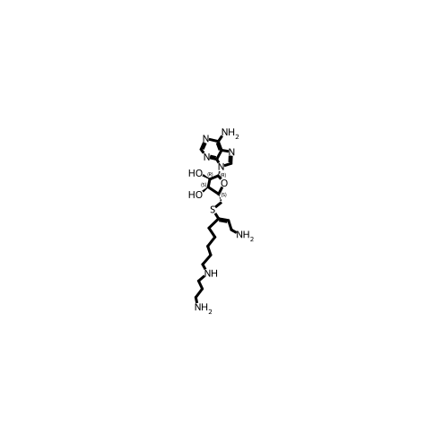 NCC=C(CCCCCNCCCN)SC[C@H]1O[C@@H](n2cnc3c(N)ncnc32)[C@H](O)[C@@H]1O